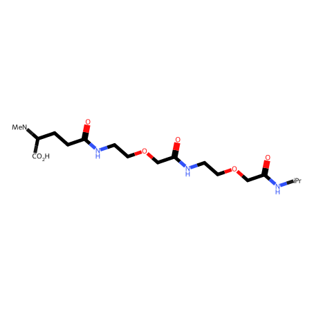 CNC(CCC(=O)NCCOCC(=O)NCCOCC(=O)NC(C)C)C(=O)O